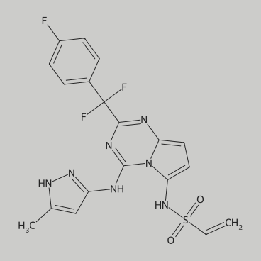 C=CS(=O)(=O)Nc1ccc2nc(C(F)(F)c3ccc(F)cc3)nc(Nc3cc(C)[nH]n3)n12